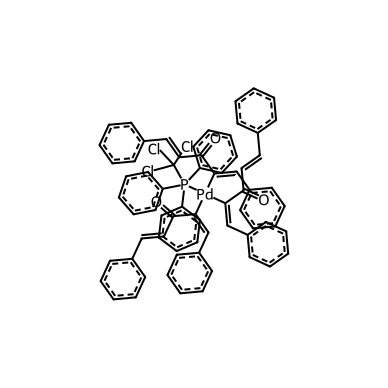 O=C(C=Cc1ccccc1)[C](=Cc1ccccc1)[Pd]([C](=Cc1ccccc1)C(=O)C=Cc1ccccc1)([C](=Cc1ccccc1)C(=O)C=Cc1ccccc1)[P](c1ccccc1)(c1ccccc1)(c1ccccc1)C(Cl)(Cl)Cl